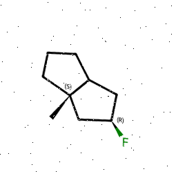 C[C@@]12CCCC1C[C@@H](F)C2